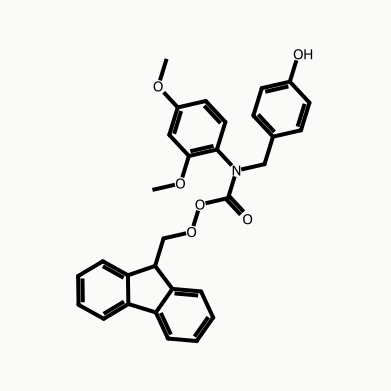 COc1ccc(N(Cc2ccc(O)cc2)C(=O)OOCC2c3ccccc3-c3ccccc32)c(OC)c1